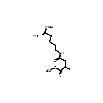 CNC(CCCCNC(=O)CC(C)C(=O)OC(C)(C)C)C(=O)O